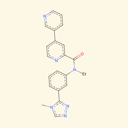 CCN(C(=O)c1cc(-c2cccnc2)ccn1)c1cccc(-c2nncn2C)c1